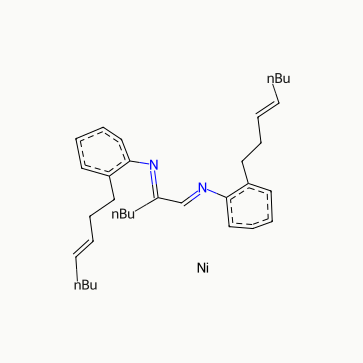 CCCCC=CCCc1ccccc1N=CC(CCCC)=Nc1ccccc1CCC=CCCCC.[Ni]